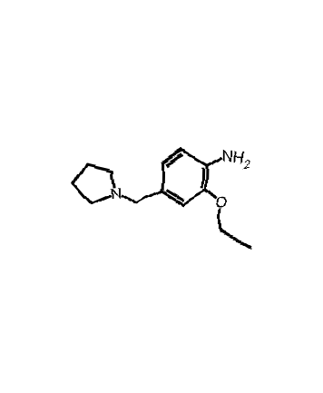 CCOc1cc(CN2CCCC2)ccc1N